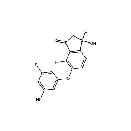 N#Cc1cc(F)cc(Oc2ccc3c(c2F)C(=O)CS3(O)O)c1